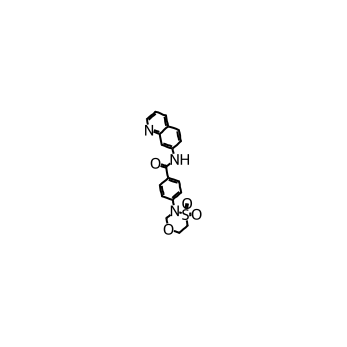 O=C(Nc1ccc2cccnc2c1)c1ccc(N2COCCS2(=O)=O)cc1